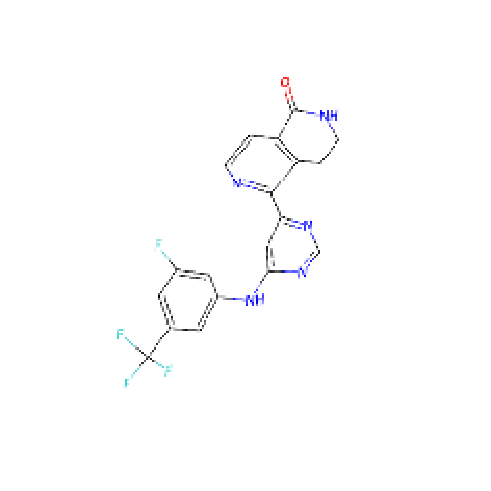 O=C1NCCc2c1ccnc2-c1cc(Nc2cc(F)cc(C(F)(F)F)c2)ncn1